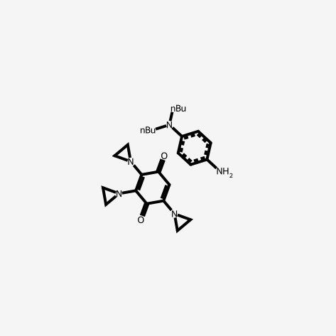 CCCCN(CCCC)c1ccc(N)cc1.O=C1C=C(N2CC2)C(=O)C(N2CC2)=C1N1CC1